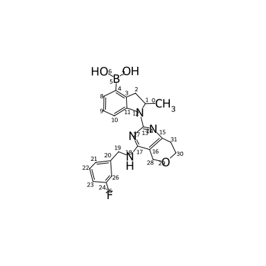 CC1Cc2c(B(O)O)cccc2N1c1nc2c(c(NCc3cccc(F)c3)n1)COCC2